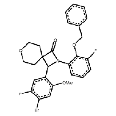 COc1cc(Br)c(F)cc1C1N(c2cccc(F)c2OCc2ccccc2)C(=O)C12CCOCC2